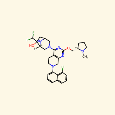 CN1CCC[C@H]1COc1nc2c(c(N3CC4CC(O)(C(F)F)[C@@H](C3)N4)n1)CCN(c1cccc3cccc(Cl)c13)C2